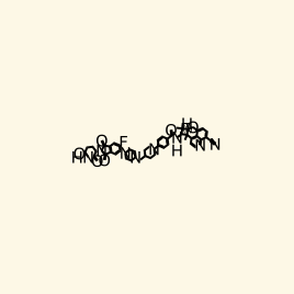 CC1(C)C(NC(=O)c2ccc(N3CCC(CN4CCN(c5cc6c(cc5F)C(=O)N(C5CCC(=O)NC5=O)C6=O)CC4)CC3)cc2)C2(C)c3ccnc4c(C#N)ccc(c34)O[C@@H]12